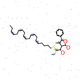 CC/C=C\C/C=C\C/C=C\C/C=C\C/C=C\CCCCS[C@@H](CC)C(=O)C1C(=O)O[C@H](c2ccccc2)[C@@H]1C